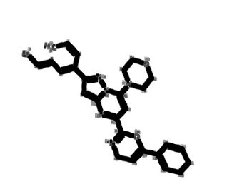 C\C=C/C(=C\C=C\CC)c1cc2nc(C3=NCC=C(C4=CCCC=C4)O3)cc(N3CCOCC3)n2n1